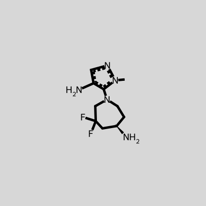 Cn1ncc(N)c1N1CC[C@@H](N)CC(F)(F)C1